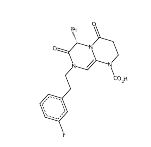 CC(C)[C@H]1C(=O)N(CCc2cccc(F)c2)C=C2N(C(=O)O)CCC(=O)N21